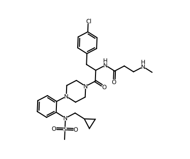 CNCCC(=O)NC(Cc1ccc(Cl)cc1)C(=O)N1CCN(c2ccccc2N(CC2CC2)S(C)(=O)=O)CC1